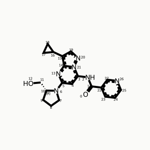 O=C(Nc1cc(N2CCC[C@@H]2CO)nc2c(C3CC3)cnn12)c1cccnc1